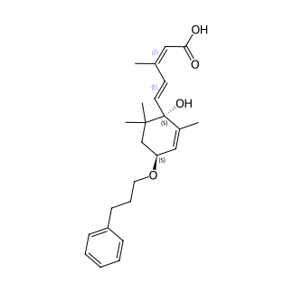 CC1=C[C@@H](OCCCc2ccccc2)CC(C)(C)[C@@]1(O)/C=C/C(C)=C\C(=O)O